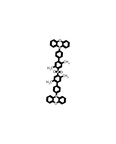 Cc1cc(S(=O)(=O)c2cc(C)c(-c3ccc(N4c5ccccc5Oc5ccccc54)cc3)cc2C)c(C)cc1-c1ccc(N2c3ccccc3Oc3ccccc32)cc1